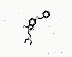 CCN(CC)CCn1sc2cc(OCc3ccccc3)ccc2c1=O